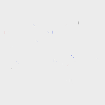 C=CC(=O)Nc1cc(Nc2ncc(C(=O)O)c(-c3cn(C)c4ccccc34)n2)c(OC)cc1N(C)CC1CCCN1